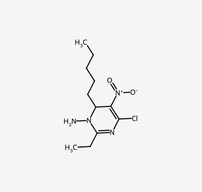 CCCCCC1C([N+](=O)[O-])=C(Cl)N=C(CC)N1N